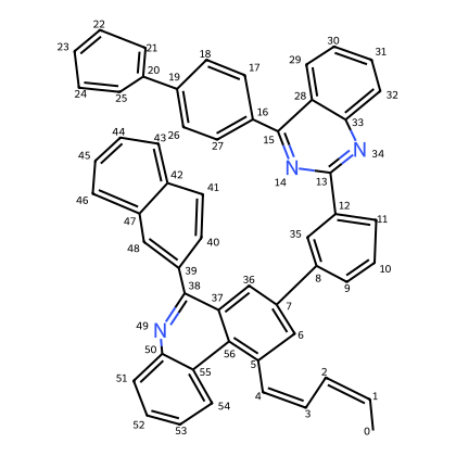 C/C=C\C=C/c1cc(-c2cccc(-c3nc(-c4ccc(-c5ccccc5)cc4)c4ccccc4n3)c2)cc2c(-c3ccc4ccccc4c3)nc3ccccc3c12